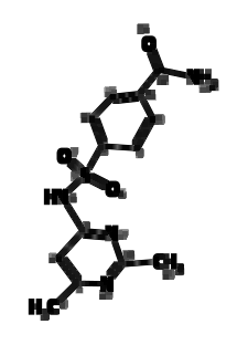 Cc1cc(NS(=O)(=O)c2ccc(C(N)=O)cc2)nc(C)n1